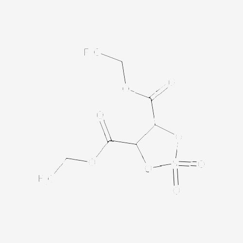 O=C(OCC(F)(F)F)C1OS(=O)(=O)OC1C(=O)OCC(F)(F)F